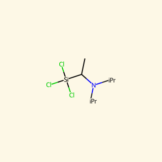 CC(C)N(C(C)C)C(C)[Si](Cl)(Cl)Cl